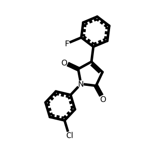 O=C1C=C(c2ccccc2F)C(=O)N1c1cccc(Cl)c1